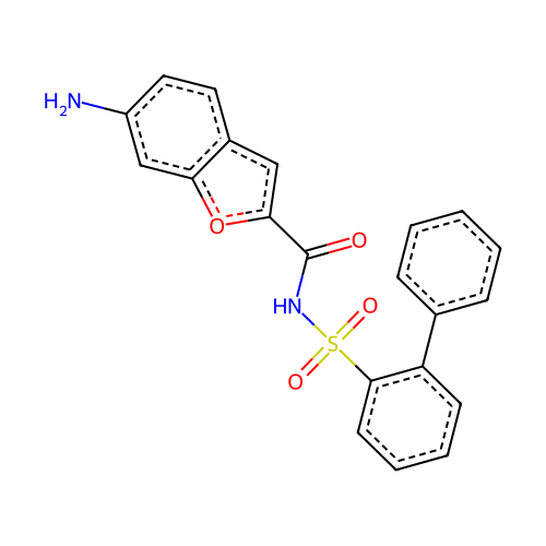 Nc1ccc2cc(C(=O)NS(=O)(=O)c3ccccc3-c3ccccc3)oc2c1